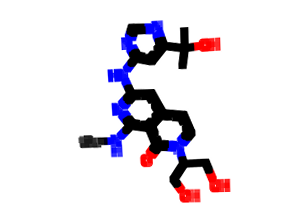 CC(C)(C)Nc1nc(Nc2cc(C(C)(C)O)ncn2)cc2ccn(C(CO)CO)c(=O)c12